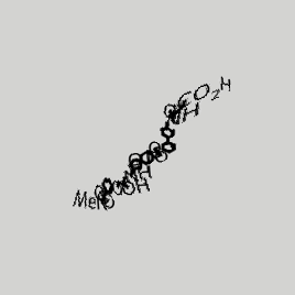 CNS(=O)(=O)c1cccc(OCC(O)CNC2COC3(CCN(S(=O)(=O)c4cccc(-c5ccc(CNC(=O)CC(=O)O)cc5)c4)CC3)C2)c1